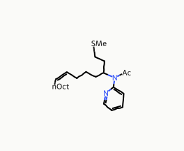 CCCCCCCC/C=C\CCCC(CCSC)N(C(C)=O)c1ccccn1